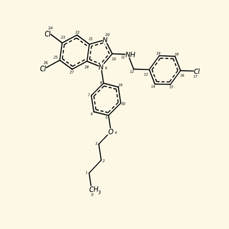 CCCCOc1ccc(-n2c(NCc3ccc(Cl)cc3)nc3cc(Cl)c(Cl)cc32)cc1